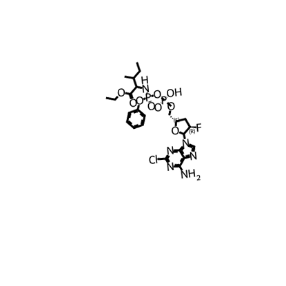 CCOC(=O)C(NP(=O)(Oc1ccccc1)OP(=O)(O)OC[C@@H]1C[C@@H](F)C(n2cnc3c(N)nc(Cl)nc32)O1)C(C)CC